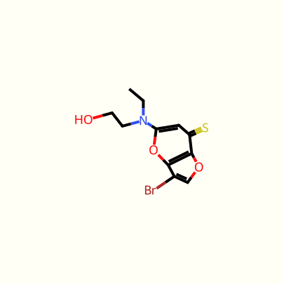 CCN(CCO)c1cc(=S)c2occ(Br)c2o1